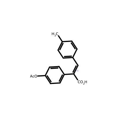 CC(=O)Oc1ccc(/C(=C\c2ccc(C)cc2)C(=O)O)cc1